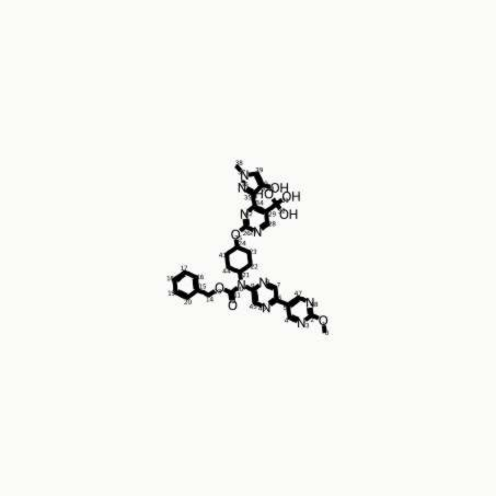 COc1ncc(-c2cnc(N(C(=O)OCc3ccccc3)C3CCC(Oc4ncc(C(O)(O)O)c(-c5nn(C)cc5O)n4)CC3)cn2)cn1